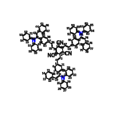 N#Cc1c(C=Cc2ccc(C(=Cc3ccccc3)N(c3ccccc3)c3ccccc3)cc2)c(C#N)c(C=Cc2ccc(C(=Cc3ccccc3)N(c3ccccc3)c3ccccc3)cc2)c(C#N)c1C=Cc1ccc(C(=Cc2ccccc2)N(c2ccccc2)c2ccccc2)cc1